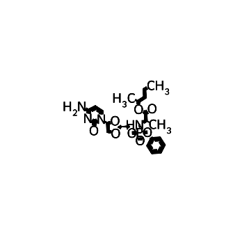 CCC[C@H](C)OC(=O)[C@H](C)N[P@@](=O)(OC[C@H]1OC[C@@H](n2ccc(N)nc2=O)O1)Oc1ccccc1